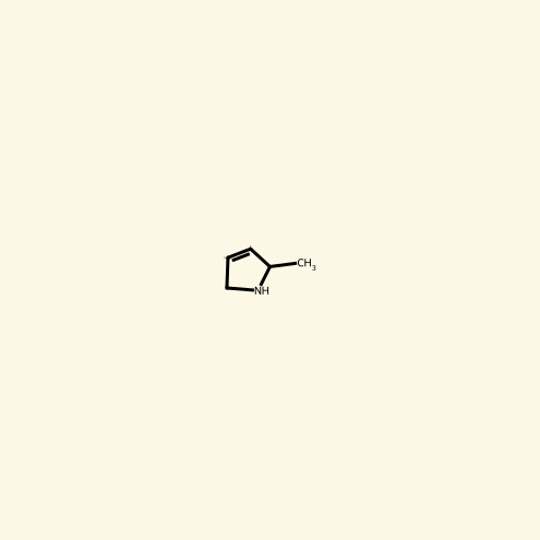 CC1[C]=[C]CN1